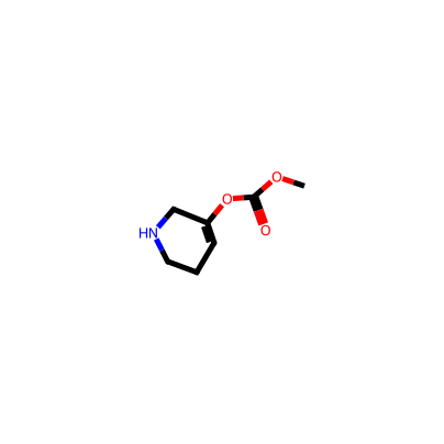 COC(=O)OC1=CCCNC1